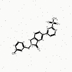 CS(=O)(=O)c1nccc(-c2ccc3c(c2)C(=O)N(Cc2cccc(Cl)c2)C3)n1